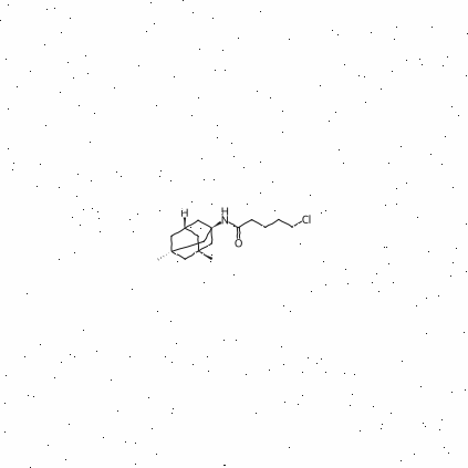 C[C@]12C[C@@H]3C[C@](C)(C1)C[C@](NC(=O)CCCCCl)(C3)C2